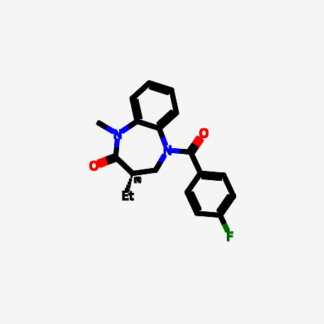 CC[C@H]1CN(C(=O)c2ccc(F)cc2)c2ccccc2N(C)C1=O